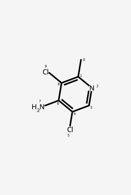 Cc1ncc(Cl)c(N)c1Cl